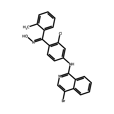 Cc1ccccc1C(=NO)c1ccc(Nc2ncc(Br)c3ccccc23)cc1Cl